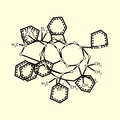 CC[C@@]1(C)CC(C)(C)[Si](C)(C)O[Si]2(c3ccccc3)O[Si]3(c4ccccc4)O[Si]4(c5ccccc5)O[Si](c5ccccc5)(O[Si]5(c6ccccc6)O[Si](c6ccccc6)(O2)O[Si](c2ccccc2)(O3)O[Si](C)(C)C(C)(C)[C@@](C)(CC)[Si](C)(C)O[Si](c2ccccc2)(O4)O5)O[Si]1(C)C